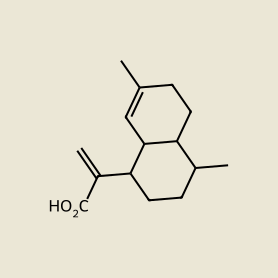 C=C(C(=O)O)C1CCC(C)C2CCC(C)=CC12